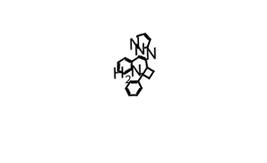 NC1(c2ccccc2)CCC1c1nc2cccnn2c1-c1ccccc1